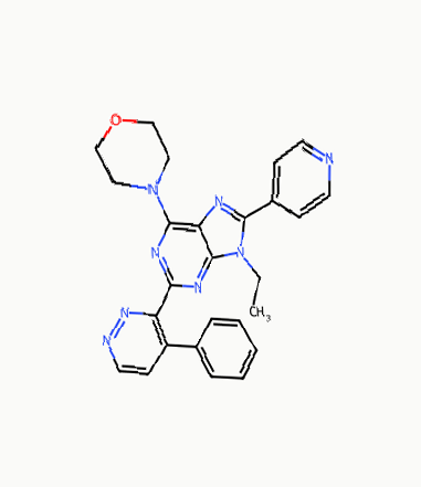 CCn1c(-c2ccncc2)nc2c(N3CCOCC3)nc(-c3nnccc3-c3ccccc3)nc21